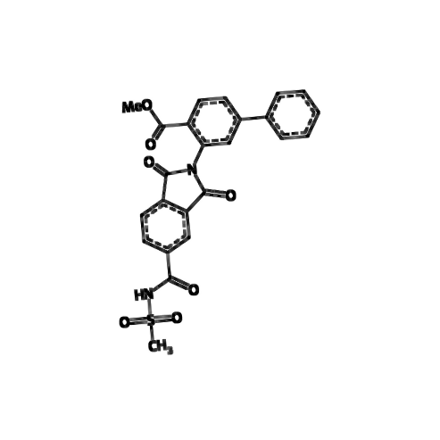 COC(=O)c1ccc(-c2ccccc2)cc1N1C(=O)c2ccc(C(=O)NS(C)(=O)=O)cc2C1=O